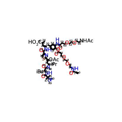 C#CC(=O)NCCOCCOCCC(=O)Oc1ccc(C[C@@H](CC(C)C(=O)O)NC(=O)c2csc([C@@H](C[C@H](C(C)C)N(C)C(=O)[C@@H](NC(=O)C(C)(C)N(C)C)[C@@H](C)CC)OC(C)=O)n2)cc1NC(=O)CCOCCOCCNC(C)=O